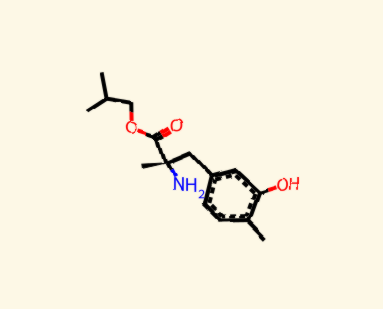 Cc1ccc(C[C@](C)(N)C(=O)OCC(C)C)cc1O